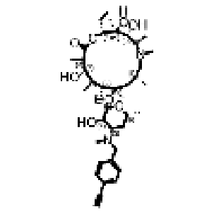 C#Cc1ccc(CN(C)[C@H]2C[C@@H](C)O[C@@H](O[C@@H]3[C@@H](C)[C@H](O)[C@@H](C)C(=O)O[C@H](CC)[C@@](C)(O)[C@H](O)[C@@H](C)N(C)C[C@H](C)C[C@@]3(C)O)[C@@H]2O)cc1